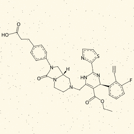 C#Cc1c(F)cccc1[C@@H]1N=C(c2nccs2)NC(CN2CCN3C(=O)N(c4ccc(CCC(=O)O)cc4)C[C@@H]3C2)=C1C(=O)OCC